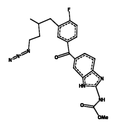 COC(=O)Nc1nc2ccc(C(=O)c3ccc(F)c(CC(C)CCN=[N+]=[N-])c3)cc2[nH]1